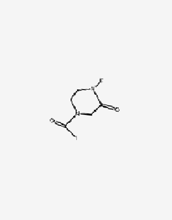 O=C1CN(C(=O)I)CCN1F